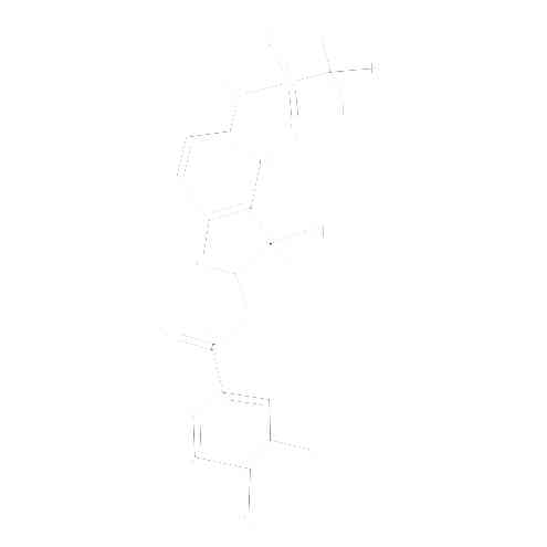 CC1(C)c2cc(OS(=O)(=O)C(F)(F)F)ccc2OC1OC(=O)c1ccc(Cl)c(Cl)c1